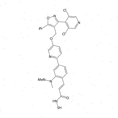 CNN(C)c1cc(-c2ccc(OCc3c(-c4c(Cl)cncc4Cl)noc3C(C)C)cn2)ccc1/C=C/C(=O)NS